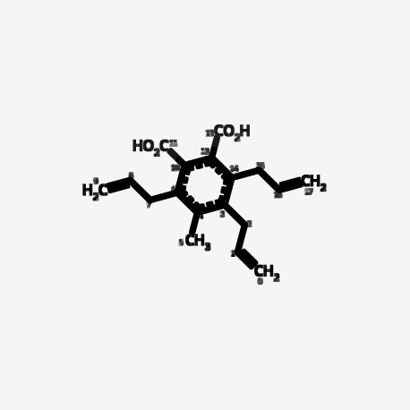 C=CCc1c(C)c(CC=C)c(C(=O)O)c(C(=O)O)c1CC=C